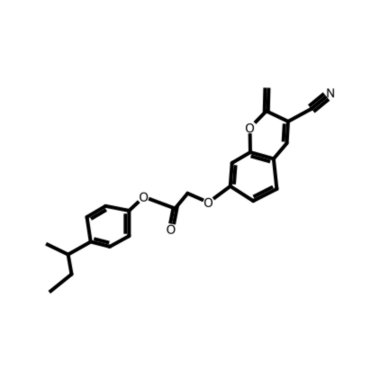 C=C1Oc2cc(OCC(=O)Oc3ccc(C(C)CC)cc3)ccc2C=C1C#N